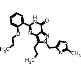 CCCOc1ccccc1-c1nc2c(CCC)n(Cc3csc(C)n3)nc2c(=O)[nH]1